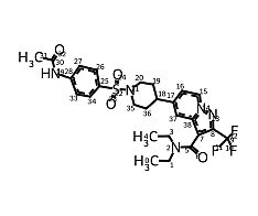 CCN(CC)C(=O)c1c(C(F)(F)F)nn2ccc(C3CCN(S(=O)(=O)c4ccc(NC(C)=O)cc4)CC3)cc12